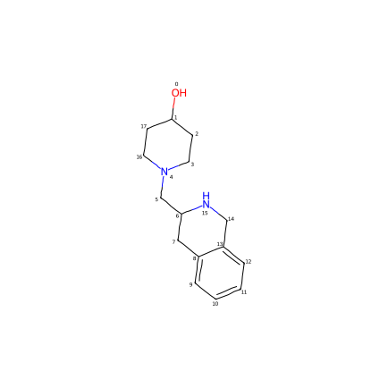 OC1CCN(CC2Cc3ccccc3CN2)CC1